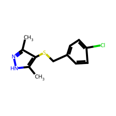 Cc1n[nH]c(C)c1SCc1ccc(Cl)cc1